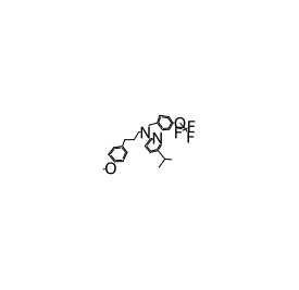 COc1ccc(CCCN(Cc2ccc(OC(F)(F)F)cc2)c2ccc(C(C)C)cn2)cc1